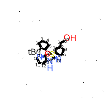 CC(C)(C)c1ccccc1Oc1ncccc1Nc1nc2ccc(CCO)cc2s1